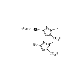 CCCCCCl.CCc1cc(C(=O)O)n(C)n1.CCc1cc(C(=O)O)n(C)n1